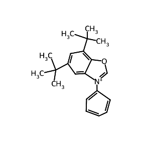 CC(C)(C)c1cc(C(C)(C)C)c2oc[n+](-c3ccccc3)c2c1